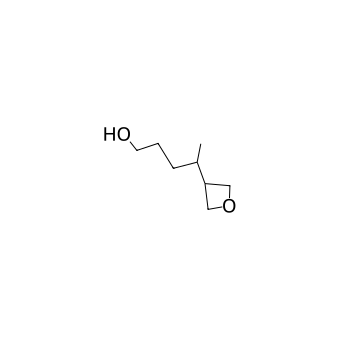 CC(CCCO)C1COC1